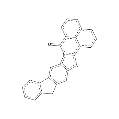 O=c1c2cccc3cccc(c32)c2nc3cc4c(cc3n12)-c1ccccc1C4